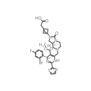 COC(=O)C1=C(CN2CCN3C(=O)N(C45CC(CC(=O)O)(C4)C5)C[C@@H]3C2)NC(c2nccs2)=N[C@H]1c1ccc(F)cc1Br